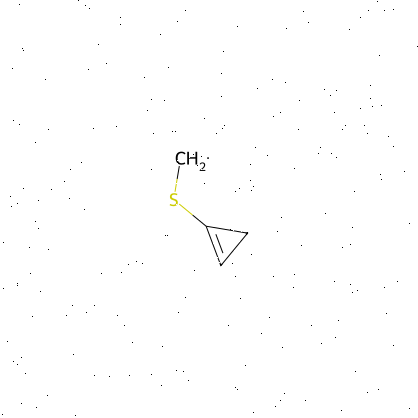 [CH2]SC1=CC1